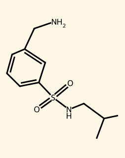 CC(C)CNS(=O)(=O)c1cccc(CN)c1